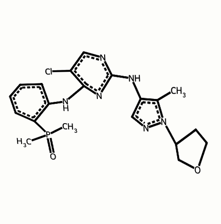 Cc1c(Nc2ncc(Cl)c(Nc3ccccc3P(C)(C)=O)n2)cnn1C1CCOC1